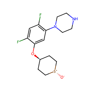 [O-][S@+]1CC[C@@H](Oc2cc(N3CCNCC3)c(F)cc2F)CC1